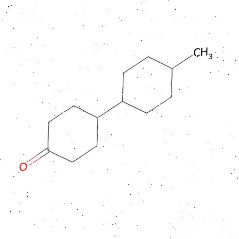 CC1CCC(C2CCC(=O)CC2)CC1